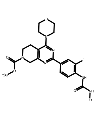 CCNC(=O)Nc1ccc(-c2nc3c(c(N4CCOCC4)n2)CCN(C(=O)OC(C)(C)C)C3)cc1F